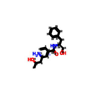 C=C/C(=C\C(N)CC(C)O)C(=O)N[C@H](CO)Cc1ccccc1